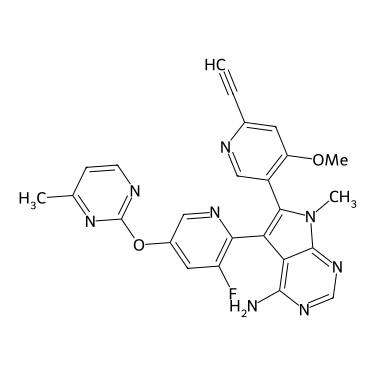 C#Cc1cc(OC)c(-c2c(-c3ncc(Oc4nccc(C)n4)cc3F)c3c(N)ncnc3n2C)cn1